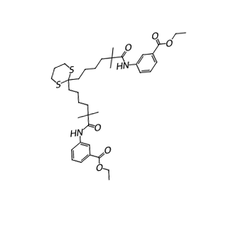 CCOC(=O)c1cccc(NC(=O)C(C)(C)CCCCC2(CCCCC(C)(C)C(=O)Nc3cccc(C(=O)OCC)c3)SCCCS2)c1